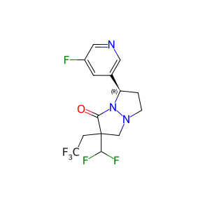 O=C1N2[C@@H](c3cncc(F)c3)CCN2CC1(CC(F)(F)F)C(F)F